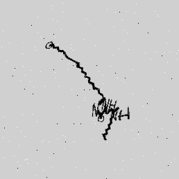 C=C(CCC(NC(=C)CCCCCCCCCCCCCCCCCCC=O)C(=O)C#N)NCCCCCCCC